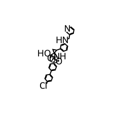 O=C(O)C1(NS(=O)(=O)c2ccc(-c3ccc(Cl)cc3)cc2)CC1c1cccc(NCc2cccnc2)c1